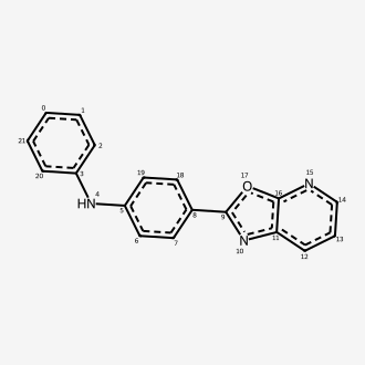 c1ccc(Nc2ccc(-c3nc4cccnc4o3)cc2)cc1